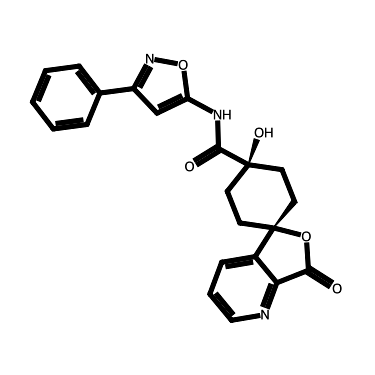 O=C1O[C@]2(CC[C@@](O)(C(=O)Nc3cc(-c4ccccc4)no3)CC2)c2cccnc21